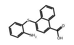 Nc1ccccc1Sc1ccc(C(=O)O)c2ccccc12